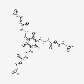 O=C(CCCn1c(=O)n(CCCC(=O)OCC2CO2)c(=O)n(CCCC(=O)OCC2CO2)c1=O)OCCC1CO1